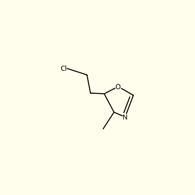 CC1N=COC1CCCl